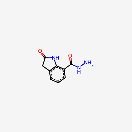 NNC(=O)c1cccc2c1NC(=O)C2